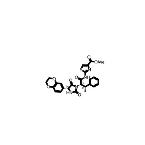 COC(=O)c1csc(NC(=O)[C@H]([C@H](C)c2ccccc2)N2C(=O)N[C@H](c3ccc4c(c3)OCCO4)C2=O)n1